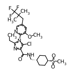 CCc1nc(C(=O)NC[C@H]2CC[C@H](S(C)(=O)=O)CC2)c(Cl)n1-c1ncc(CC(C)(C)C(F)(F)F)cc1OC